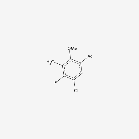 COc1c(C(C)=O)cc(Cl)c(F)c1C